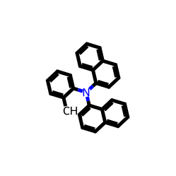 Cc1ccccc1N(c1cccc2ccccc12)c1cccc2ccccc12